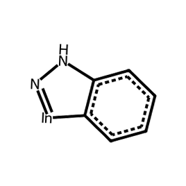 c1cc[c]2c(c1)N[N]=[In]2